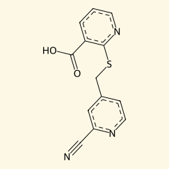 N#Cc1cc(CSc2ncccc2C(=O)O)ccn1